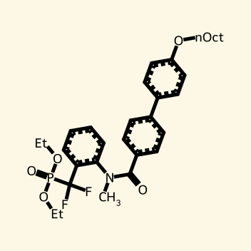 CCCCCCCCOc1ccc(-c2ccc(C(=O)N(C)c3ccccc3C(F)(F)P(=O)(OCC)OCC)cc2)cc1